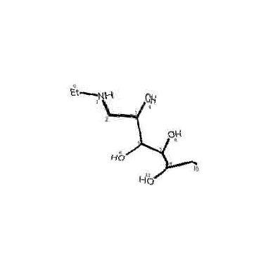 CCNCC(O)C(O)C(O)C(C)O